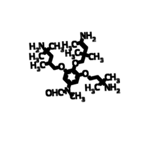 C/C(N)=C\C(C)(C)COc1c(OCCC(C)(C)N)cc(N(C)C=O)cc1OCC(C)CC(C)(C)N